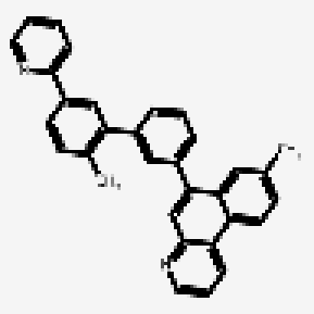 Cc1ccc2c(c1)c(-c1cccc(-c3cc(-c4ccccn4)ccc3C)c1)cc1ncccc12